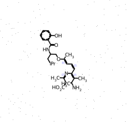 C/C(CC(=O)O)=N/C(/C=C\C=C(/C)OCC(CC(C)C)NC(=O)c1ccccc1O)=C(/C)C(C)N